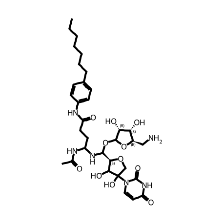 CCCCCCCc1ccc(NC(=O)CCC(NC(C)=O)NC(OC2O[C@H](CN)[C@@H](O)[C@H]2O)[C@H]2OCC(O)(n3ccc(=O)[nH]c3=O)C2O)cc1